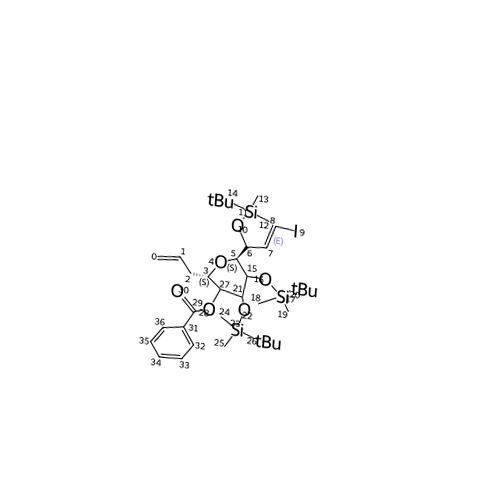 C=CC[C@@H]1O[C@@H](C(/C=C/I)O[Si](C)(C)C(C)(C)C)C(O[Si](C)(C)C(C)(C)C)C(O[Si](C)(C)C(C)(C)C)C1OC(=O)c1ccccc1